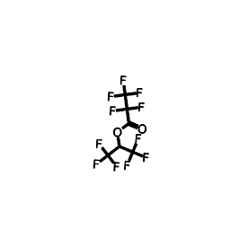 O=C(OC(C(F)(F)F)C(F)(F)F)C(F)(F)C(F)(F)F